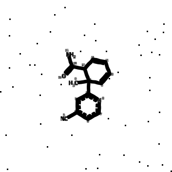 CC1(c2cc(C#N)ccn2)C=CC=CC1C(N)=O